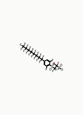 O=S(=O)(F)C(F)(F)C(F)(F)S(=O)(=O)c1c(F)cc(C(F)(F)C(F)(F)C(F)(F)C(F)(F)C(F)(F)C(F)(F)C(F)(F)C(F)(F)F)cc1F